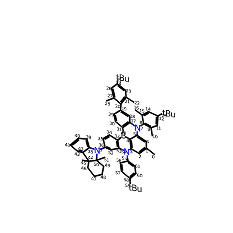 Cc1cc2c3c(c1)N(c1c(C)cc(C(C)(C)C)cc1C)c1cc(-c4c(C)cc(C(C)(C)C)cc4C)ccc1B3c1ccc(N3c4ccccc4C4(C)CCCCC34C)cc1N2c1ccc(C(C)(C)C)cc1